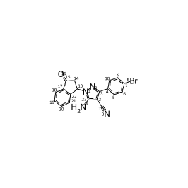 N#Cc1c(-c2ccc(Br)cc2)nn(C2CC(=O)c3ccccc32)c1N